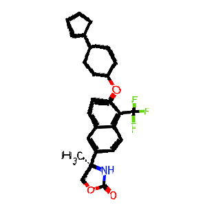 C[C@@]1(c2ccc3c(C(F)(F)F)c(OC4CCC(C5CCCC5)CC4)ccc3c2)COC(=O)N1